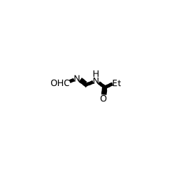 [CH2]CC(=O)N/[C]=N/C=O